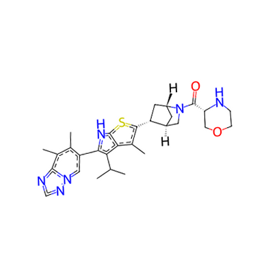 Cc1c(-c2[nH]c3sc([C@@H]4C[C@H]5C[C@H]4CN5C(=O)[C@H]4COCCN4)c(C)c3c2C(C)C)cn2ncnc2c1C